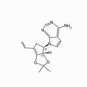 C=CC1=C2OC(C)(C)O[C@H]2[C@H](n2ccc3c(N)ncnc32)C1